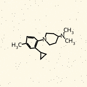 Cc1ccc(N2CCC(N(C)C)CC2)c(C2CC2)c1